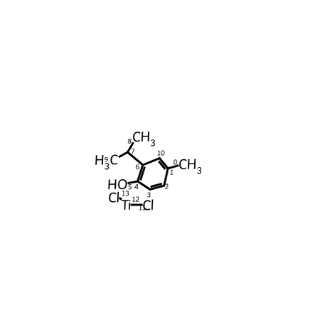 Cc1ccc(O)c(C(C)C)c1.[Cl][Ti][Cl]